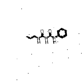 CCCNC(=O)NC(=O)Nc1ccccc1